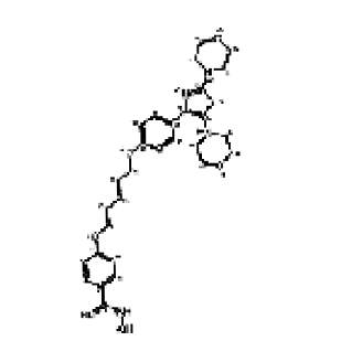 N=C(NO)c1ccc(OCCCCCOc2ccc(-c3nc(N4CCOCC4)sc3N3CCOCC3)cc2)cc1